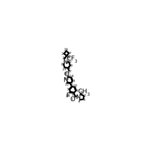 C[C@H]1CCCN1C(=O)c1ccc(-c2ccc(OCC3CCN(CC4(C(F)(F)F)CCC4)CC3)nc2)cc1F